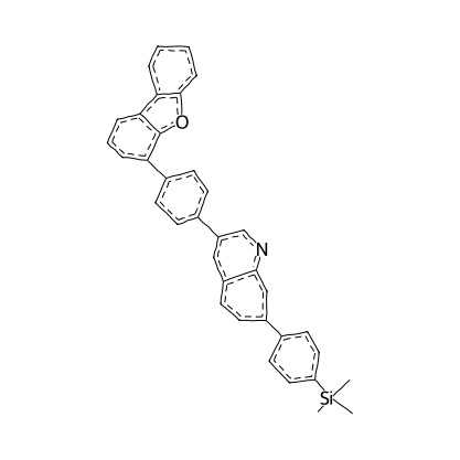 C[Si](C)(C)c1ccc(-c2ccc3cc(-c4ccc(-c5cccc6c5oc5ccccc56)cc4)cnc3c2)cc1